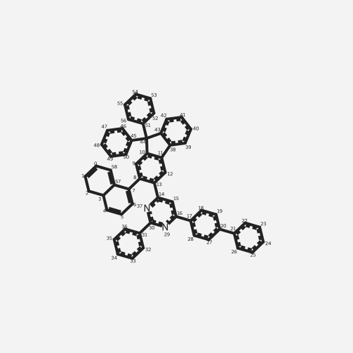 C1=CCC2C=CC=C(c3cc4c(cc3-c3cc(-c5ccc(-c6ccccc6)cc5)nc(-c5ccccc5)n3)-c3ccccc3C4(c3ccccc3)c3ccccc3)C2=C1